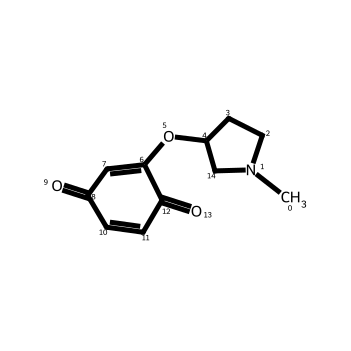 CN1CCC(OC2=CC(=O)C=CC2=O)C1